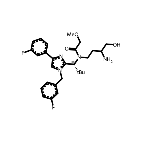 COCC(=O)N(CCC(N)CO)[C@@H](c1nc(-c2cccc(F)c2)cn1Cc1cccc(F)c1)C(C)(C)C